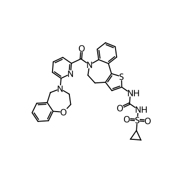 O=C(Nc1cc2c(s1)-c1ccccc1N(C(=O)c1cccc(N3CCOc4ccccc4C3)n1)CC2)NS(=O)(=O)C1CC1